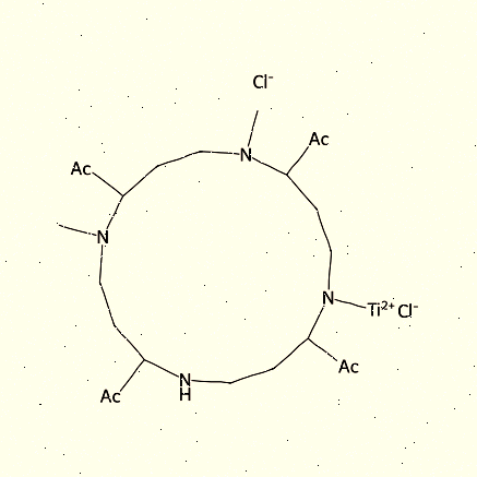 CC(=O)C1CCN(C)C(C(C)=O)CCN(C)C(C(C)=O)CC[N]([Ti+2])C(C(C)=O)CCN1.[Cl-].[Cl-]